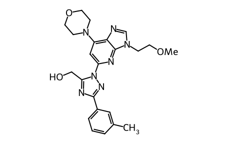 COCCn1cnc2c(N3CCOCC3)cc(-n3nc(-c4cccc(C)c4)nc3CO)nc21